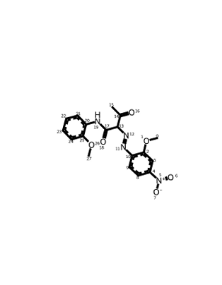 COc1cc([N+](=O)[O-])ccc1/N=N/C(C(C)=O)C(=O)Nc1ccccc1OC